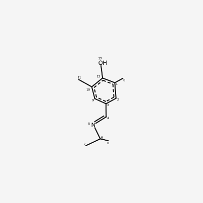 Cc1cc(/C=N/C(C)C)cc(C)c1O